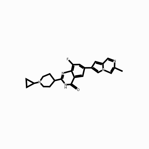 Cc1cn2cc(-c3cc(F)c4nc(C5CCN(C6CC6)CC5)[nH]c(=O)c4c3)cc2cn1